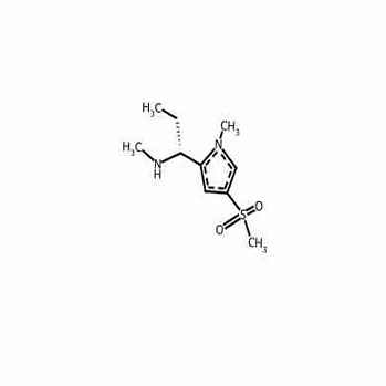 CC[C@@H](NC)c1cc(S(C)(=O)=O)cn1C